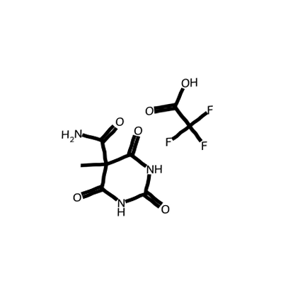 CC1(C(N)=O)C(=O)NC(=O)NC1=O.O=C(O)C(F)(F)F